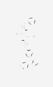 O=C(NCc1ccc(-c2sccc2-c2ccncc2)cc1)[C@H](O)[C@@H](O)C(=O)N1CCCC1c1ccccc1